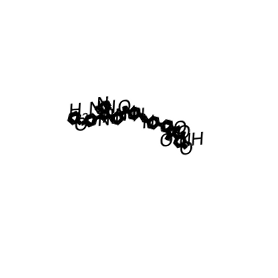 Nc1ncnc2c1c(-c1ccc(Oc3ccccc3)cc1)nn2C1CCCN(C(=O)N2CCN(CCN3CCC(c4ccc5c(c4)C(=O)N(C4CCC(=O)NC4=O)C5=O)CC3)CC2)C1